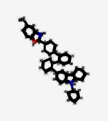 CCCc1ccc2oc(C3=CC=C(c4ccccc4C4CC=CC=C4c4ccc5c(c4)c4ccccc4n5-c4ccccc4)CC3)nc2c1